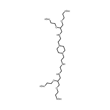 CCCCCCCCCCCCOCC(CNCCNCCN1CCN(CCNCC(COCCCCCCCCCCCC)OCCCCCCCCCCCC)CC1)OCCCCCCCCCCCC